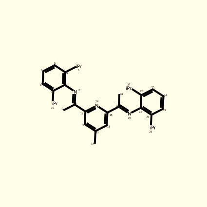 C/C(=N\c1c(C(C)C)cccc1C(C)C)c1cc(C)cc(/C(C)=N/c2c(C(C)C)cccc2C(C)C)n1